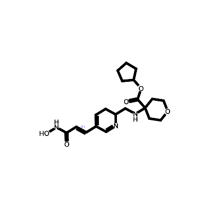 O=C(/C=C/C1=CCC(CNC2(C(=O)OC3CCCC3)CCOCC2)N=C1)NO